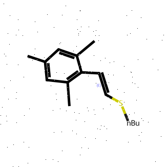 CCCCS/C=C/c1c(C)cc(C)cc1C